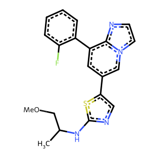 COCC(C)Nc1ncc(-c2cc(-c3ccccc3F)c3nccn3c2)s1